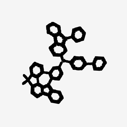 CC1(C)c2cccc3c2-c2c1ccc1c4ccccc4n(c21)-c1ccc(N(c2ccc(-c4ccccc4)cc2)c2ccc4c5ccccc5n(-c5ccccc5)c4c2)cc1-3